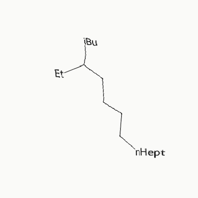 [CH2]CC(C)C(CC)CCCCCCCCCCC